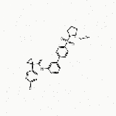 O=C(Nc1cccc(-c2ccc(S(=O)(=O)N3CCC[C@@H]3CO)cc2)c1)C1(c2ccc(Cl)cc2)CC1